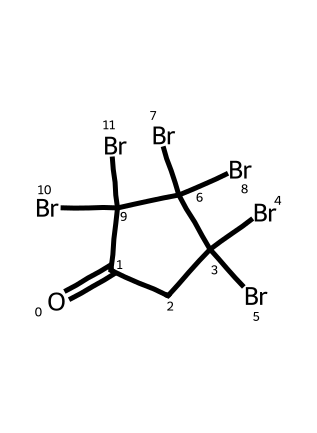 O=C1CC(Br)(Br)C(Br)(Br)C1(Br)Br